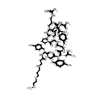 COCCOCCCNCCC(=O)N[C@@H](Cc1ccc(O)cc1)C(=O)N[C@@H](Cc1ccc(O)cc1)C(=O)N[C@@H](CC(C)C)C(=O)N[C@@H](Cc1ccccc1)C(=O)N[C@@H](CCCNC(=N)N)C(=O)N1CCC[C@H]1C(=O)N[C@@H](CCCNC(=N)N)C(=O)N[C@@H](CC(N)=O)C(N)=O